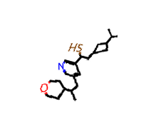 CC(C)C1CC(CC(S)c2cncc(CC(C)C3CCOCC3)c2)C1